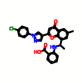 Cc1cc(C(C)Nc2ccccc2C(=O)O)c2oc(-c3cnn(-c4ccc(Cl)cc4)c3)cc(=O)c2c1